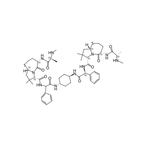 CN[C@@H](C)C(=O)N[C@H]1CCS[C@H]2CC(C)(C)[C@@H](C(=O)NC(C(=O)N[C@H]3CC[C@H](NC(=O)[C@@H](NC(=O)[C@H]4N5C(=O)[C@@H](NC(=O)[C@H](C)NC)CCS[C@H]5CC4(C)C)c4ccccc4)CC3)c3ccccc3)N2C1=O